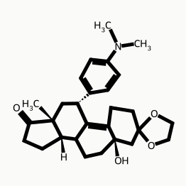 CN(C)c1ccc([C@H]2C[C@@]3(C)C(=O)CC[C@H]3C3CC[C@@]4(O)CC5(CCC4=C32)OCCO5)cc1